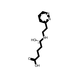 O=C(O)CCC[C@H](O)NCCc1cccnn1